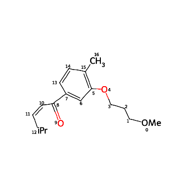 COCCCOc1cc(C(=O)/C=C\C(C)C)ccc1C